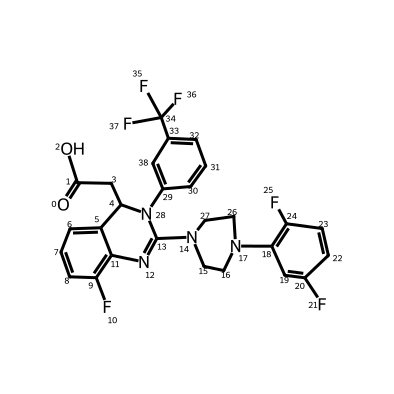 O=C(O)CC1c2cccc(F)c2N=C(N2CCN(c3cc(F)ccc3F)CC2)N1c1cccc(C(F)(F)F)c1